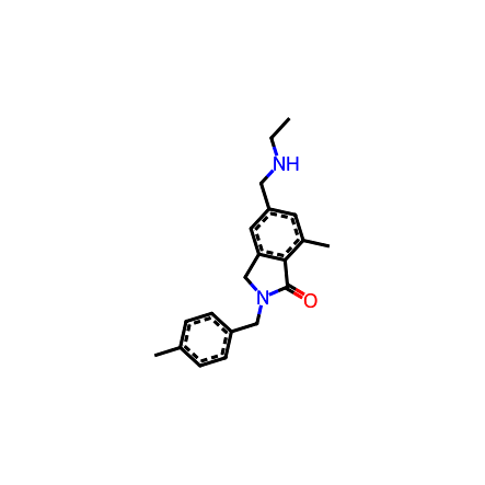 CCNCc1cc(C)c2c(c1)CN(Cc1ccc(C)cc1)C2=O